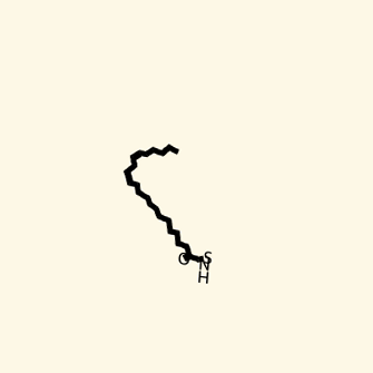 CCCCC/C=C\C/C=C\CCCCCCCCCCCC(=O)C1NS1